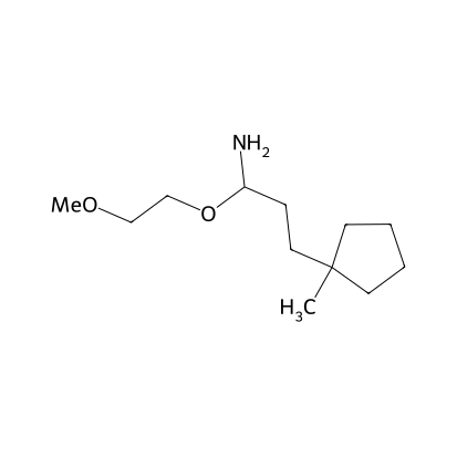 COCCOC(N)CCC1(C)CCCC1